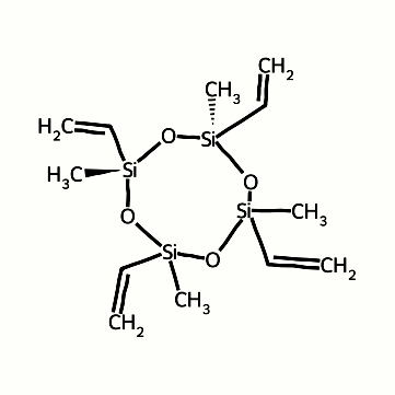 C=C[Si]1(C)O[Si](C)(C=C)O[Si@](C)(C=C)O[Si@@](C)(C=C)O1